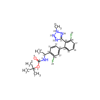 CC(NC(=O)OC(C)(C)C)c1ccc(-c2cccc(F)c2-c2nnn(C)n2)cc1F